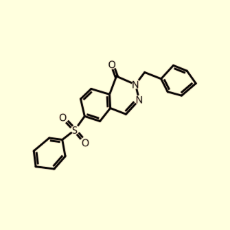 O=c1c2ccc(S(=O)(=O)c3ccccc3)cc2cnn1Cc1ccccc1